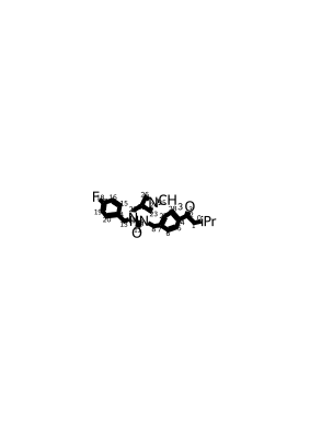 CC(C)CC(=O)c1ccc(CNC(=O)N(Cc2ccc(F)cc2)CC2CN(C)C2)cc1